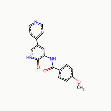 COc1ccc(C(=O)Nc2cc(-c3ccncc3)c[nH]c2=O)cc1